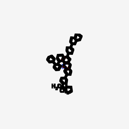 CC1(C)c2ccccc2-c2cc(-c3cccc(N(c4ccc(-c5ccc(-c6ccc7ccccc7c6)cc5)cc4)c4cccc(-c5ccccc5)c4-c4ccccc4-c4ccccc4)c3)ccc21